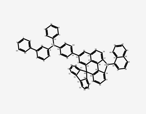 c1ccc(-c2cccc(N(c3ccccc3)c3ccc(-c4cc5c6c(ccc7c6c6c(cccc6n7-c6cccc7ccccc67)C56c5ccccc5-c5ccccc56)c4)cc3)c2)cc1